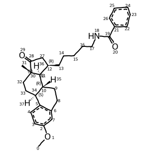 COc1ccc2c(c1)CC[C@H]1[C@@H]3[C@H](CCCCCNC(=O)c4ccccc4)CC(=O)[C@@]3(C)CC[C@H]21